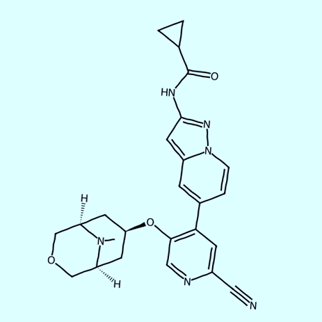 CN1[C@@H]2COC[C@H]1C[C@@H](Oc1cnc(C#N)cc1-c1ccn3nc(NC(=O)C4CC4)cc3c1)C2